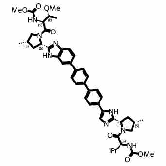 COC(=O)N[C@H](C(=O)N1C[C@@H](C)C[C@H]1c1ncc(-c2ccc(-c3ccc(-c4ccc5nc([C@@H]6C[C@H](C)CN6C(=O)[C@@H](NC(=O)OC)[C@@H](C)OC)[nH]c5c4)cc3)cc2)[nH]1)C(C)C